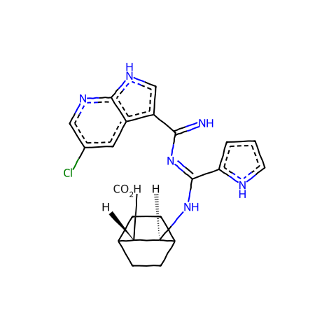 N=C(/N=C(/N[C@H]1C2CCC(CC2)[C@@H]1C(=O)O)c1ccc[nH]1)c1c[nH]c2ncc(Cl)cc12